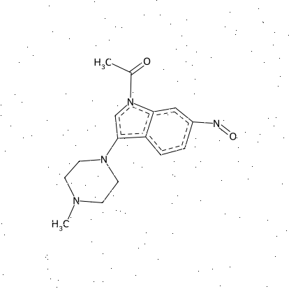 CC(=O)n1cc(N2CCN(C)CC2)c2ccc(N=O)cc21